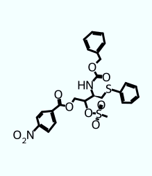 CS(=O)(=O)OC(COC(=O)c1ccc([N+](=O)[O-])cc1)[C@H](CSc1ccccc1)NC(=O)OCc1ccccc1